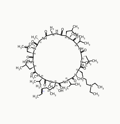 C/C=C/C[C@@H](C)[C@@H](O)[C@@H]1C(=O)N[C@H](C(C)C)C(=O)N(C)[C@H](CSCCN(CC)CC)C(=O)N(C)[C@@H](CC(C)C)C(=O)N[C@H](C(C)C)C(=O)N(C)[C@H](CC(C)C)C(=O)N[C@H](C)C(=O)N[C@@H](C)C(=O)N(C)[C@H](CC(C)C)C(=O)N(C)[C@H](CC(C)C)C(=O)N(C)[C@H](C(C)C)C(=O)N1C